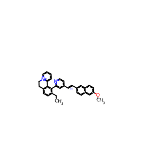 CCc1ccc2c(c1-c1cc(/C=C/c3ccc4cc(OC)ccc4c3)ccn1)-c1cccc[n+]1CC2